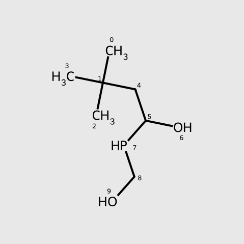 CC(C)(C)CC(O)PCO